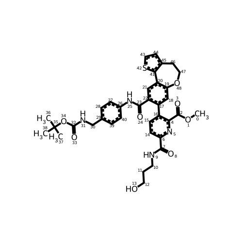 COC(=O)c1nc(C(=O)NCCCO)ccc1-c1cc2c(cc1C(=O)Nc1ccc(CNC(=O)OC(C)(C)C)cc1)-c1sccc1CCO2